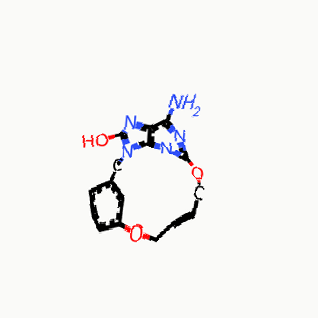 Nc1nc2nc3c1nc(O)n3Cc1cccc(c1)OC/C=C\CO2